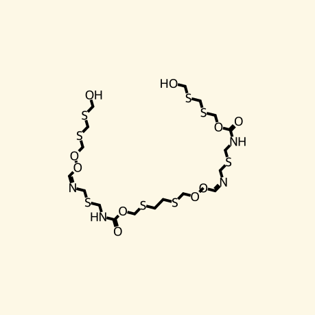 O=C(NCSC/N=C\OOCSCSCO)OCSCCSCOO/C=N\CSCNC(=O)OCSCSCO